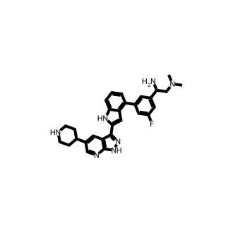 CN(C)CC(N)c1cc(F)cc(-c2cccc3[nH]c(-c4n[nH]c5ncc(C6CCNCC6)cc45)cc23)c1